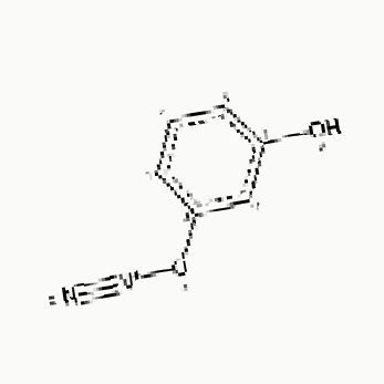 N#[N+]Oc1cccc(O)c1